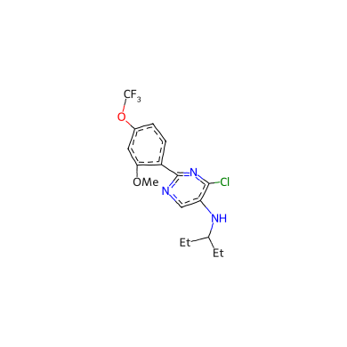 CCC(CC)Nc1cnc(-c2ccc(OC(F)(F)F)cc2OC)nc1Cl